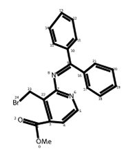 COC(=O)c1ccnc(N=C(c2ccccc2)c2ccccc2)c1CBr